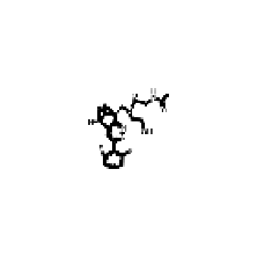 CC(=O)NCC(=O)N(CCO)C[C@@]12CC[C@@H](c3cc(-c4c(F)cccc4F)nnc31)C2(C)C